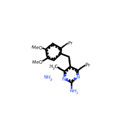 COc1cc(Cc2c(C)nc(N)nc2C(C)C)c(C(C)C)cc1OC.N